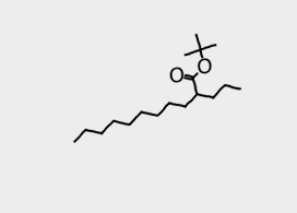 CCCCCCCCCC(CCC)C(=O)OC(C)(C)C